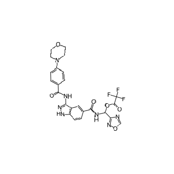 O=C(Nc1n[nH]c2ccc(C(=O)NC(OC(=O)C(F)(F)F)c3ncon3)cc12)c1ccc(N2CCOCC2)cc1